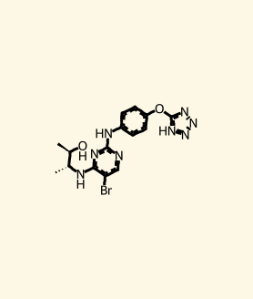 C[C@@H](O)[C@@H](C)Nc1nc(Nc2ccc(Oc3nnn[nH]3)cc2)ncc1Br